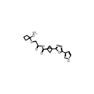 O=C(COC1(OC(F)(F)F)CCC1)NC(=O)C12CC(c3nnc(-c4cc[nH]n4)o3)(C1)C2